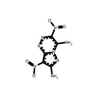 Nc1nn2c(N)c([N+](=O)[O-])nnc2c1[N+](=O)[O-]